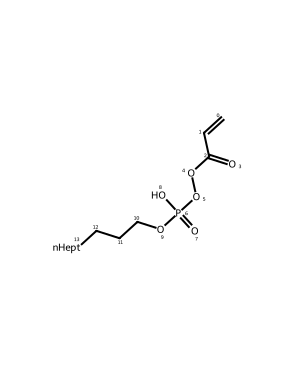 C=CC(=O)OOP(=O)(O)OCCCCCCCCCC